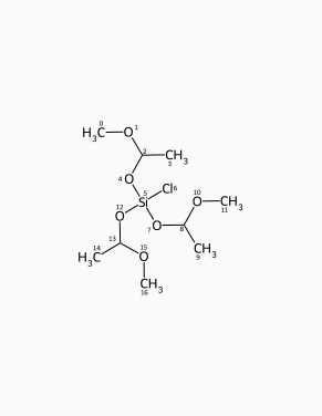 COC(C)O[Si](Cl)(OC(C)OC)OC(C)OC